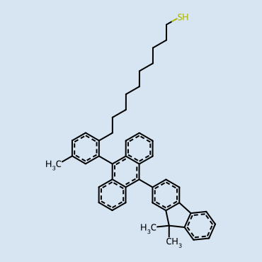 Cc1ccc(CCCCCCCCCCS)c(-c2c3ccccc3c(-c3ccc4c(c3)C(C)(C)c3ccccc3-4)c3ccccc23)c1